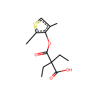 CCC(CC)(C(=O)O)C(=O)Oc1c(C)csc1C